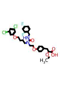 CCOC(Cc1ccc(OCCN(CCCCOc2cc(Cl)cc(Cl)c2)C(=O)NCc2ccc(F)cc2F)cc1)C(=O)O